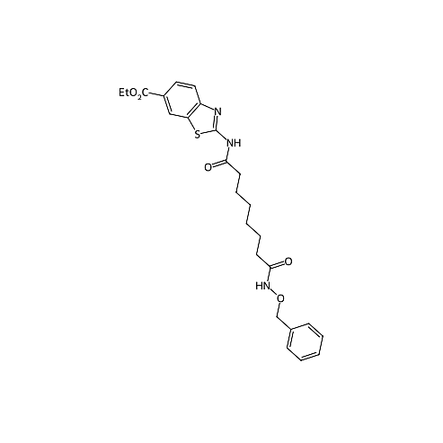 CCOC(=O)c1ccc2nc(NC(=O)CCCCCCC(=O)NOCc3ccccc3)sc2c1